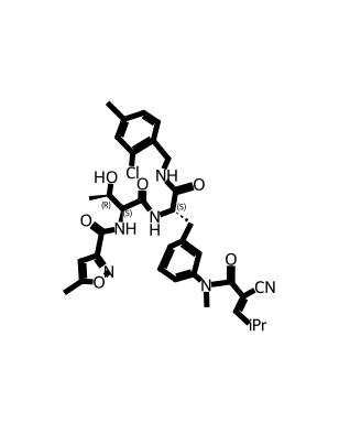 Cc1ccc(CNC(=O)[C@H](Cc2cccc(N(C)C(=O)C(C#N)=CC(C)C)c2)NC(=O)[C@@H](NC(=O)c2cc(C)on2)[C@@H](C)O)c(Cl)c1